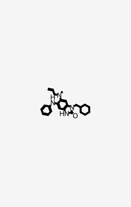 C=CCN(C)c1cc2c(cc1Nc1ccccc1)[nH]c(=O)n2CC1CCCCC1